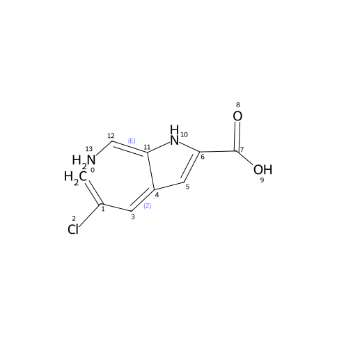 C=C(Cl)/C=c1/cc(C(=O)O)[nH]/c1=C/N